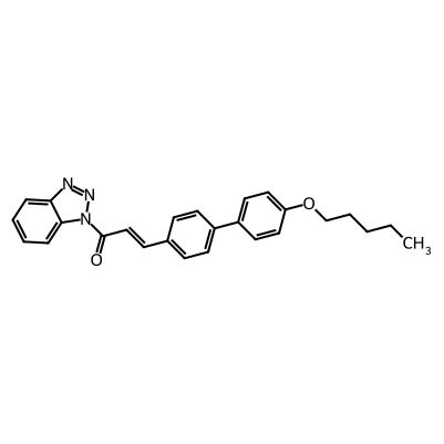 CCCCCOc1ccc(-c2ccc(C=CC(=O)n3nnc4ccccc43)cc2)cc1